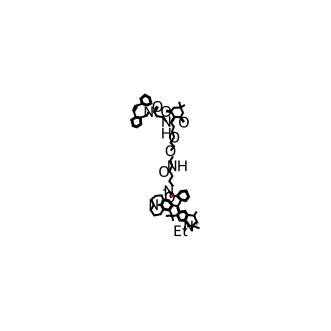 CC[N+]1=c2cc3c(cc2C(C)CC1(C)C)=C(c1ccccc1C(=O)N(C)CCCC(=O)NCCOCCOCCC(NCCC(=O)N1Cc2ccccc2C#Cc2ccccc21)=C1C(=O)CC(C)(C)CC1=O)c1cc2c4c(c1C3(C)C)CCCN4CCC2